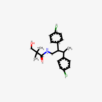 CC(c1ccc(Cl)cc1)C(CNC(=O)C(C)(C)CO)c1ccc(Cl)cc1